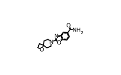 NC(=O)c1ccc2oc(N3CCC4(CCO4)CC3)nc2c1